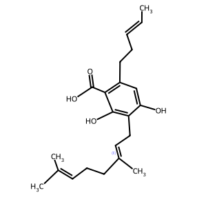 CC=CCCc1cc(O)c(C/C=C(\C)CCC=C(C)C)c(O)c1C(=O)O